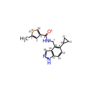 Cc1cc(C(=O)NCc2c(C3CC3)ccc3[nH]ncc23)cs1